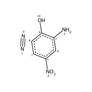 N#N.Nc1cc([N+](=O)[O-])ccc1O